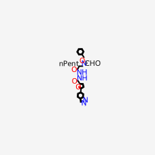 CCCCCC(CN(C=O)OCc1ccccc1)C(=O)NCNC(=O)c1ccc(-c2ccc3cn(C)nc3c2)o1